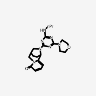 CCCNc1nc(N2CCOCC2)nc(N2CC3CCC2c2cccc(=O)n2C3)n1